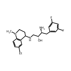 CCc1ccc2c(c1)C(NC[C@@H](O)[C@@H](N)Cc1cc(F)cc(F)c1)CCN2C